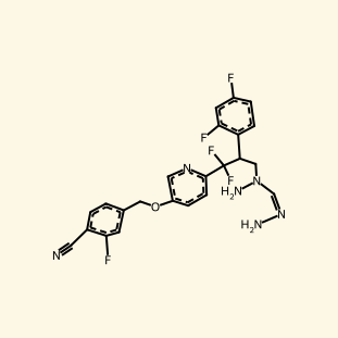 N#Cc1ccc(COc2ccc(C(F)(F)C(CN(N)/C=N\N)c3ccc(F)cc3F)nc2)cc1F